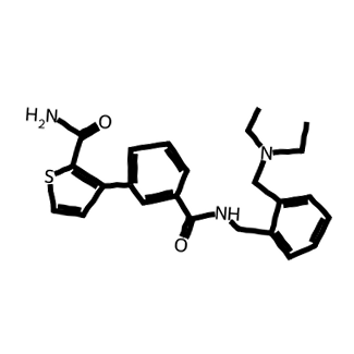 CCN(CC)Cc1ccccc1CNC(=O)c1cccc(-c2ccsc2C(N)=O)c1